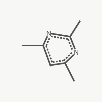 Cc1[c]c(C)nc(C)n1